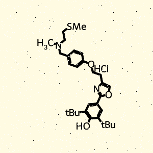 CSCCN(C)Cc1ccc(OCCc2coc(-c3cc(C(C)(C)C)c(O)c(C(C)(C)C)c3)n2)cc1.Cl